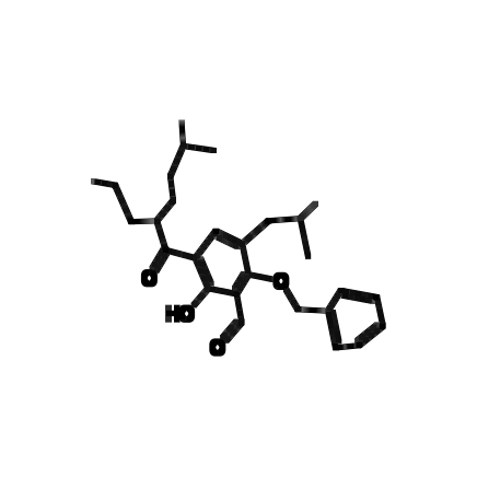 CCCC(CCC(C)C)C(=O)c1cc(CC(C)C)c(OCc2ccccc2)c(C=O)c1O